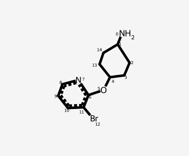 NC1CCC(Oc2ncccc2Br)CC1